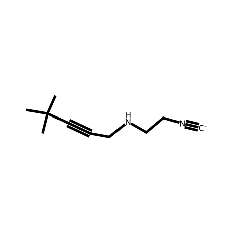 [C-]#[N+]CCNCC#CC(C)(C)C